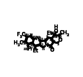 C=C1OCc2c(cc3n(c2=O)Cc2c-3nc3cc(C(F)(F)F)c(C)c(C(C)C)c3c2CC)[C@@]1(O)CC